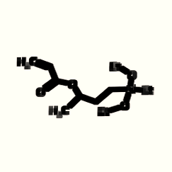 C=CC(=O)OC(C)CC[Si](CC)(OCC)OCC